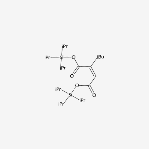 CCC(C)/C(=C/C(=O)O[Si](C(C)C)(C(C)C)C(C)C)C(=O)O[Si](C(C)C)(C(C)C)C(C)C